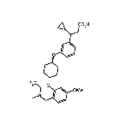 COc1ccc(CN(C)CC(F)(F)F)c(O[C@H]2CC[C@H](Oc3cccc(C(CC(=O)O)C4CC4)c3)CC2)c1